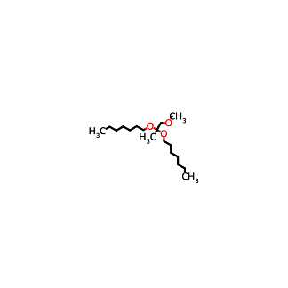 CCCCCCCOC(C)(COC)OCCCCCCC